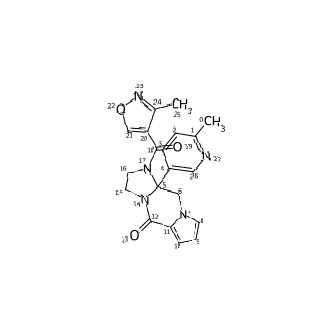 Cc1ccc(C23Cn4cccc4C(=O)N2CCN3C(=O)c2conc2C)cn1